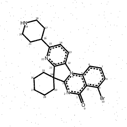 O=c1nc2n(c3cccc(Br)c13)-c1ccc(C3CCNCC3)nc1C21CCCCC1